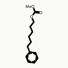 COC(=O)OCCCCCCc1ccccc1